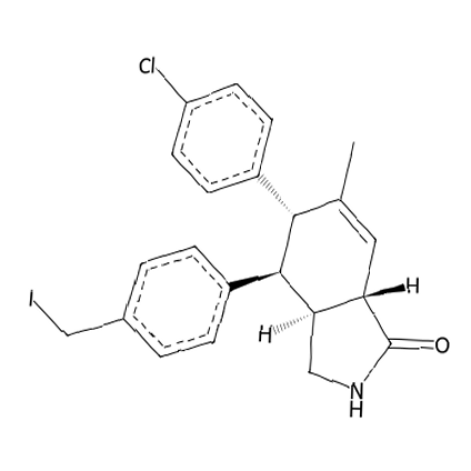 CC1=C[C@@H]2C(=O)NC[C@H]2[C@@H](c2ccc(CI)cc2)[C@@H]1c1ccc(Cl)cc1